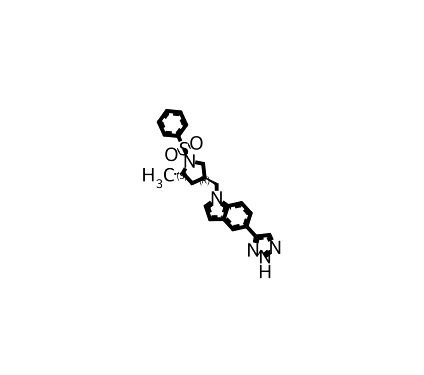 C[C@H]1C[C@H](Cn2ccc3cc(-c4cn[nH]n4)ccc32)CN1S(=O)(=O)c1ccccc1